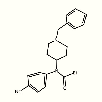 CCC(=O)N(c1ccc(C#N)cc1)C1CCN(Cc2ccccc2)CC1